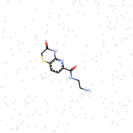 NCCNC(=O)c1ccc2c(n1)NC(=O)CS2